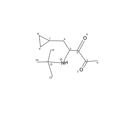 CC(=O)C(=O)C(CC1CC1)NC(C)(C)C